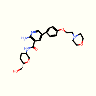 Nc1ncc(-c2ccc(OCCN3CCOCC3)cc2)cc1C(=O)N[C@@H]1CC[C@@H](CO)OC1